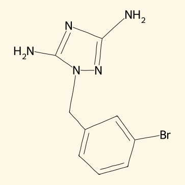 Nc1nc(N)n(Cc2cccc(Br)c2)n1